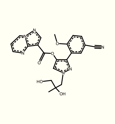 COc1ccc(C#N)cc1-c1nn(CC(C)(O)CO)cc1OC(=O)c1cnn2cccnc12